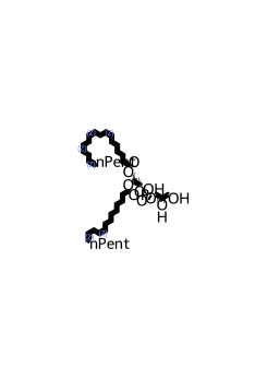 CCCCC/C=C\C/C=C\C/C=C\C/C=C\CCCCCC(=O)OC[C@H](COP(=O)(O)OC[C@@H](O)CO)OC(=O)CCCCCCC/C=C\C/C=C\CCCCC